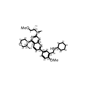 COC[C@H](C)N(C)c1nc(N2CCOC[C@@H]2C)c2ccc(-c3ccc(OC)c(CNC4CCCCC4)c3)nc2n1